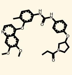 CCC(=O)N1CCC(Oc2ccc(NC(=O)Nc3ccc(C)c(Oc4ccnc5cc(OC)c(OC)cc45)c3)cc2)C1